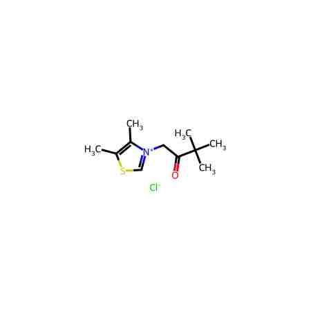 Cc1sc[n+](CC(=O)C(C)(C)C)c1C.[Cl-]